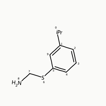 CC(C)c1cccc(SCN)c1